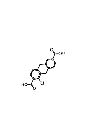 O=C(O)c1ccc2c(c1)Cc1ccc(C(=O)O)c(Cl)c1C2